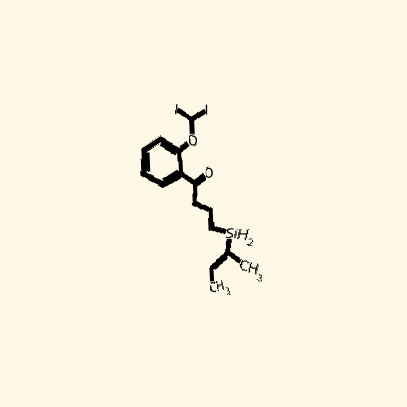 CC=C(C)[SiH2]CCCC(=O)c1ccccc1OC(I)I